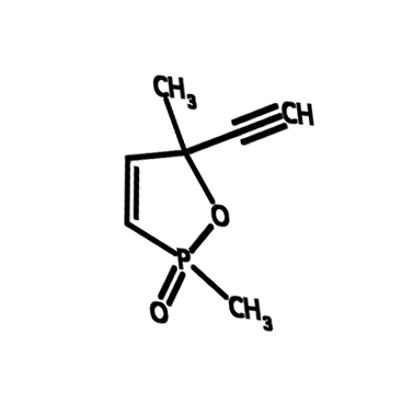 C#CC1(C)C=CP(C)(=O)O1